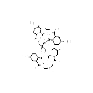 CCCOC(=O)C1CC(C)CCC1C(=O)OCC(COC(=O)C1CCC(C)CC1C(=O)OCCO)(COC(=O)C1CCC(C)CC1C(=O)OCCO)COC(=O)C1CCC(C)CC1C(=O)OCCO